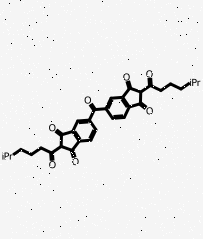 CC(C)CCCC(=O)C1C(=O)c2ccc(C(=O)c3ccc4c(c3)C(=O)C(C(=O)CCCC(C)C)C4=O)cc2C1=O